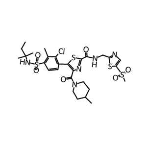 CCC(C)(C)NS(=O)(=O)c1ccc(-c2sc(C(=O)NCc3ncc(S(C)(=O)=O)s3)nc2C(=O)N2CCC(C)CC2)c(Cl)c1C